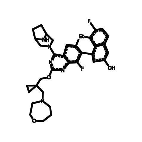 CCc1c(F)ccc2cc(O)cc(-c3c(C)cc4c(N5CC6CCC(C5)N6)nc(OCC5(CN6CCCOCC6)CC5)nc4c3F)c12